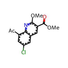 COC(=O)c1cc2cc(Cl)cc(C(C)=O)c2nc1OC